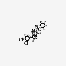 Cc1nn2c(C)c(C(=O)Oc3ccccc3)nnc2c1-c1ccc(Cl)c(Cl)c1